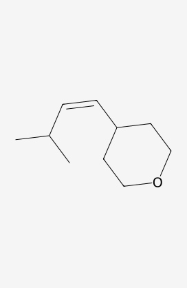 CC(C)/C=C\C1CCOCC1